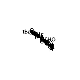 COc1cc(-c2cnc(N3CCN(C(=O)OC(C)(C)C)CC3)nc2)c(F)cc1N(C=O)Cc1ccc(-c2nnc(C(F)F)o2)cn1